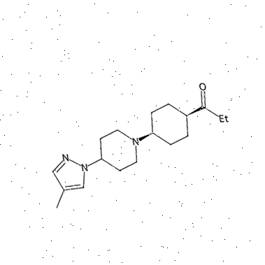 CCC(=O)[C@H]1CC[C@@H](N2CCC(n3cc(C)cn3)CC2)CC1